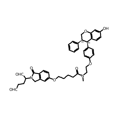 CN(CCOc1ccc([C@@H]2c3ccc(O)cc3OC[C@@H]2c2ccccc2)cc1)C(=O)CCCCOc1ccc2c(c1)CN(C(C=O)CCC=O)C2=O